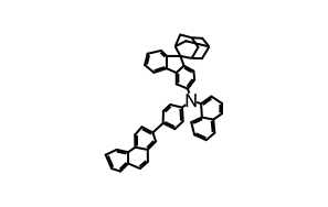 c1ccc2c(c1)-c1cc(N(c3ccc(-c4ccc5c(ccc6ccccc65)c4)cc3)c3cccc4ccccc34)ccc1C21C2CC3CC(C2)CC1C3